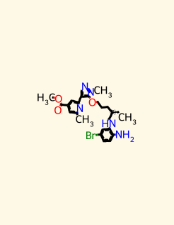 CC[C@H](CCCOc1c(-c2cc(C(=O)OC)cc(C)n2)cnn1C)CNc1cc(Br)ccc1N